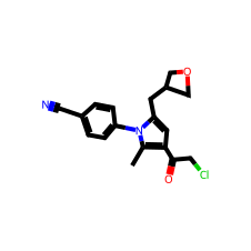 Cc1c(C(=O)CCl)cc(CC2COC2)n1-c1ccc(C#N)cc1